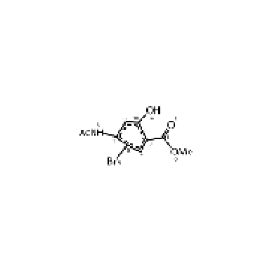 COC(=O)c1cc(Br)c(NC(C)=O)cc1O